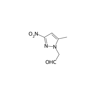 Cc1cc([N+](=O)[O-])nn1CC=O